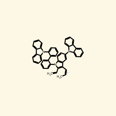 C=Cc1c(/C=C\C)c2cc(-n3c4ccccc4c4ccccc43)ccc2n1-c1ccccc1-c1ccccc1-n1c2ccccc2c2ccccc21